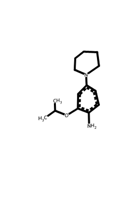 CC(C)Oc1cc(N2CCCCC2)ccc1N